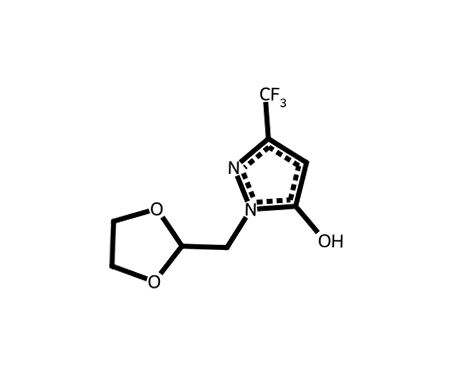 Oc1cc(C(F)(F)F)nn1CC1OCCO1